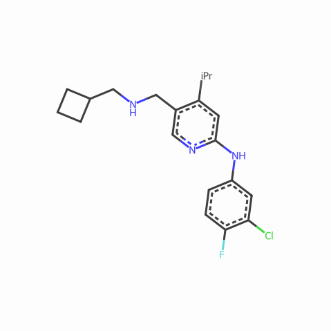 CC(C)c1cc(Nc2ccc(F)c(Cl)c2)ncc1CNCC1CCC1